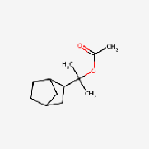 CC(=O)OC(C)(C)C1CC2CCC1C2